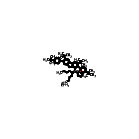 CCCC[C](CCCC)=[Zr+2]([c]1c2c(cc(C(C)(C)C)c1-c1ccc(C(C)(C)C)cc1)-c1cc(C(C)(C)C)c(-c3ccc(C(C)(C)C)cc3)cc1C2)[CH]1C=CC=C1.[Cl-].[Cl-]